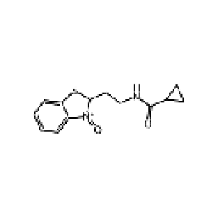 O=C(NCCC1Sc2ccccc2[N+]1=O)C1CC1